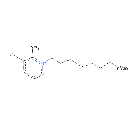 CCCCCCCCCCCCCCCC[n+]1cccc(CC)c1C